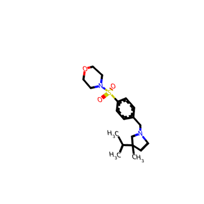 CC(C)C1(C)CCN(Cc2ccc(S(=O)(=O)N3CCOCC3)cc2)C1